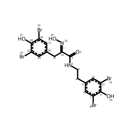 O=C(NCCc1cc(Br)c(O)c(Br)c1)/C(Cc1cc(Br)c(O)c(Br)c1)=N/O